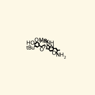 Br.COc1cc(C(=O)CN2Cc3ccc(C=C(C)C(N)=O)nc3C2=N)cc(C(C)(C)C)c1O